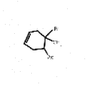 CC(=O)C1CC=CCC1(C)C(C)C